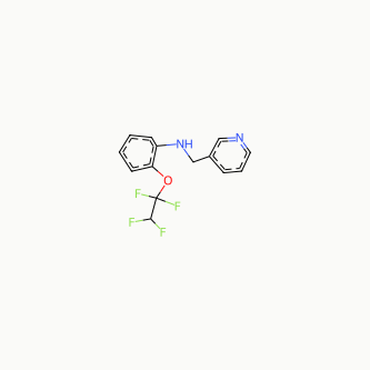 FC(F)C(F)(F)Oc1ccccc1NCc1cccnc1